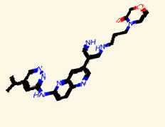 CC(C)c1cnnc(Nc2ccc3ncc(/C(C=N)=C/NCCCN4CCOCC4=O)cc3n2)c1